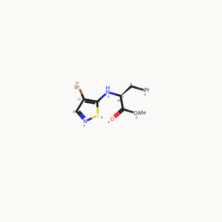 COC(=O)[C@H](CC(C)C)Nc1sncc1Br